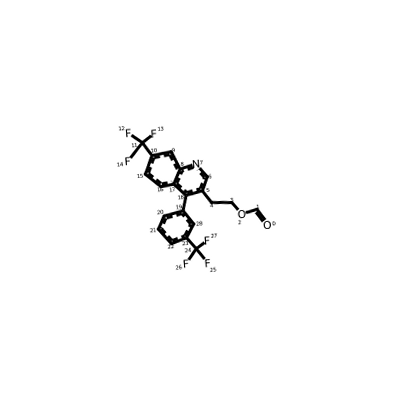 O=COCCc1cnc2cc(C(F)(F)F)ccc2c1-c1cccc(C(F)(F)F)c1